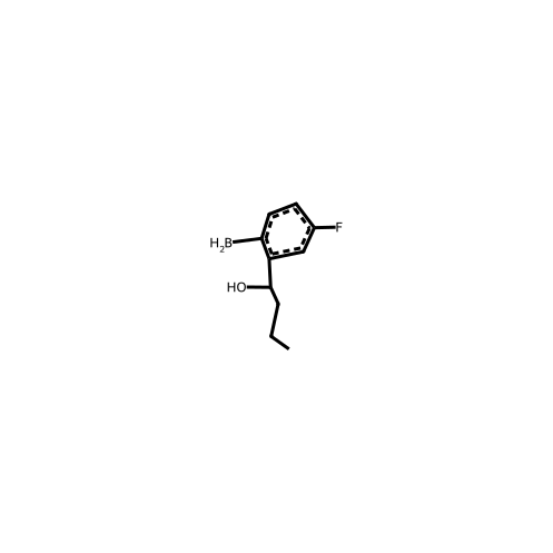 Bc1ccc(F)cc1C(O)CCC